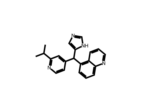 CC(C)c1cc(C(c2cnc[nH]2)c2cccc3ncccc23)ccn1